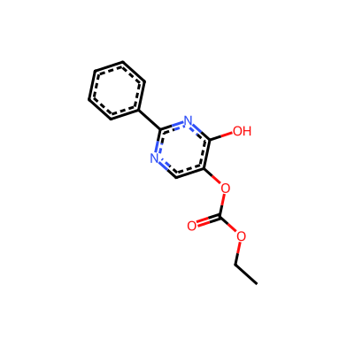 CCOC(=O)Oc1cnc(-c2ccccc2)nc1O